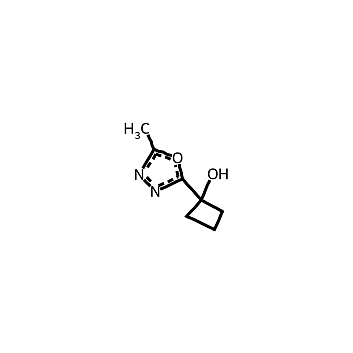 Cc1nnc(C2(O)CCC2)o1